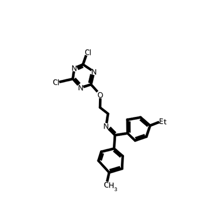 CCc1ccc(/C(=N\CCOc2nc(Cl)nc(Cl)n2)c2ccc(C)cc2)cc1